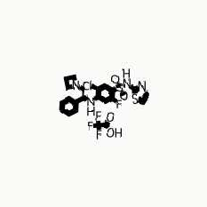 O=C(O)C(F)(F)F.O=S(=O)(Nc1nccs1)c1cc(Cl)c(N[C@H](CN2CCC2)c2ccccc2)cc1F